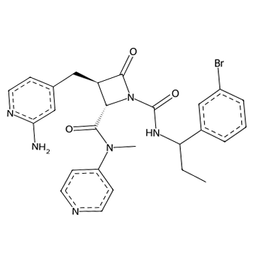 CCC(NC(=O)N1C(=O)[C@H](Cc2ccnc(N)c2)[C@H]1C(=O)N(C)c1ccncc1)c1cccc(Br)c1